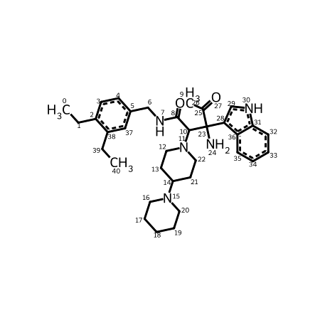 CCc1ccc(CNC(=O)C(N2CCC(N3CCCCC3)CC2)C(N)(C(C)=O)c2c[nH]c3ccccc23)cc1CC